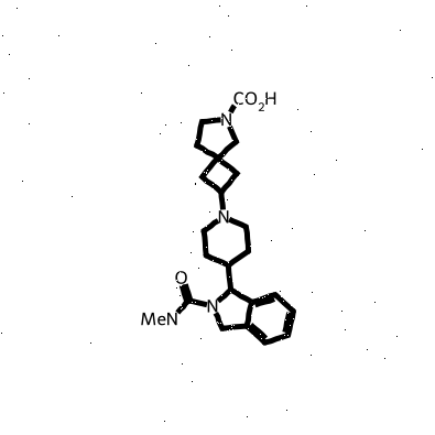 CNC(=O)N1Cc2ccccc2C1C1CCN(C2CC3(CCN(C(=O)O)C3)C2)CC1